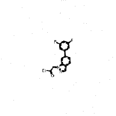 CCC(=O)Cn1ncc2ccc(-c3cc(F)cc(F)c3)cc21